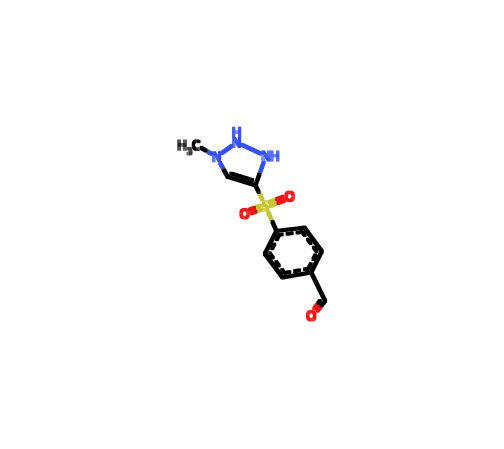 CN1C=C(S(=O)(=O)c2ccc(C=O)cc2)NN1